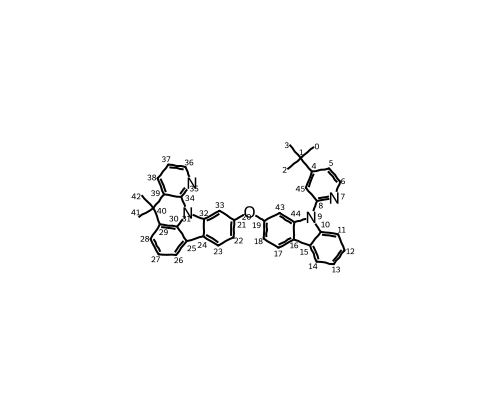 CC(C)(C)c1ccnc(-n2c3ccccc3c3ccc(Oc4ccc5c6cccc7c6n(c5c4)-c4ncccc4C7(C)C)cc32)c1